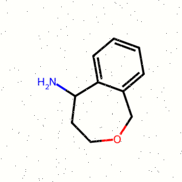 NC1CCOCc2ccccc21